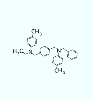 CCN(Cc1ccc(CN(Cc2ccccc2)c2ccc(C)cc2)cc1)c1ccc(C)cc1